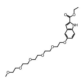 CCOC(=O)c1cc2cc(OCCOCCOCCOCCOCCOC)ccc2[nH]1